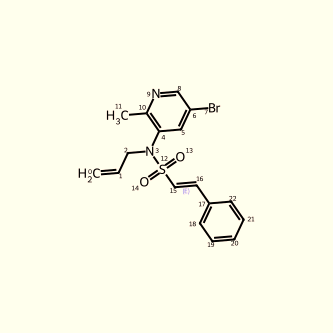 C=CCN(c1cc(Br)cnc1C)S(=O)(=O)/C=C/c1ccccc1